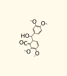 COC1=C(OC)C(=C=O)C(C(O)c2ccc(OC)c(OC)c2)C=C1